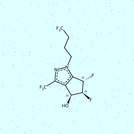 O[C@H]1c2c(C(F)(F)F)nn(CCCC(F)(F)F)c2[C@H](F)[C@H]1F